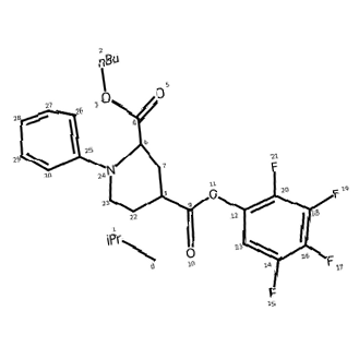 CC(C)C.CCCCOC(=O)C1CC(C(=O)Oc2cc(F)c(F)c(F)c2F)CCN1c1ccccc1